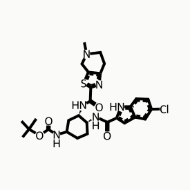 CN1CCc2nc(C(=O)N[C@H]3CC(NC(=O)OC(C)(C)C)CC[C@H]3NC(=O)c3cc4cc(Cl)ccc4[nH]3)sc2C1